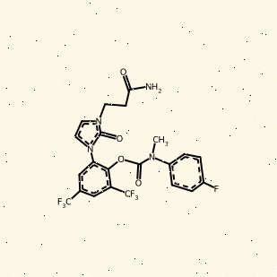 CN(C(=O)Oc1c(-n2ccn(CCC(N)=O)c2=O)cc(C(F)(F)F)cc1C(F)(F)F)c1ccc(F)cc1